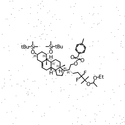 CCOC(C)OC(C)(C)C(F)(F)CC[C@@H](COS(=O)(=O)c1ccc(C)cc1)[C@H]1CC[C@H]2[C@@H]3CC=C4C[C@@H](O[Si](C)(C)C(C)(C)C)C[C@H](O[Si](C)(C)C(C)(C)C)[C@]4(C)[C@H]3CC[C@]12C